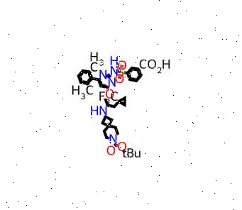 Cc1cccc(C)c1-c1cc(OCC(CC2(C(F)(F)F)CC2)NC2CC3(CCN(C(=O)OC(C)(C)C)CC3)C2)nc(NS(=O)(=O)c2cccc(C(=O)O)c2)n1